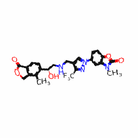 Cc1c([C@@H](O)CNCc2cn(-c3ccc4oc(=O)n(C)c4c3)nc2C(F)(F)F)ccc2c1COC2=O